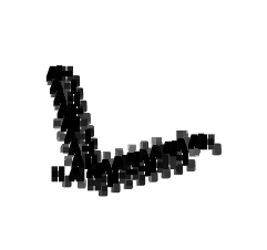 [AlH3].[AlH3].[AlH3].[AlH3].[AlH3].[AlH3].[AlH3].[AlH3].[AlH3].[AlH3].[AlH3].[AlH3].[AlH3].[AlH3].[AlH3].[AlH3].[AlH3].[AlH3]